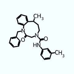 Cc1cccc(NC(=O)N2CCC(C)c3ccccc3N(Cc3ccccc3)C(=O)C2)c1